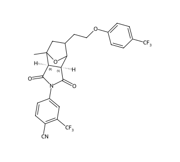 CC12CC(CCOc3ccc(C(F)(F)F)cc3)C(O1)[C@H]1C(=O)N(c3ccc(C#N)c(C(F)(F)F)c3)C(=O)[C@H]12